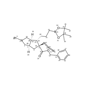 CC(C)N1C[C@@H]2C[C@@](N=[N+]=[N-])(C(=O)OCc3ccccc3)[C@@H](CCCB3OC(C)(C)C(C)(C)O3)[C@@H]2C1